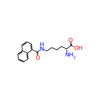 N[C@@H](CCCCNC(=O)c1cccc2ccccc12)C(=O)O